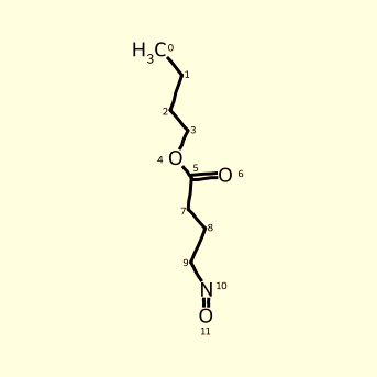 CCCCOC(=O)CCCN=O